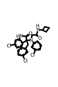 O=C(CN(c1cccc(Cl)c1)C1(Cc2cccc(Cl)c2)C(=O)Nc2cc(Cl)ccc21)NC1CCC1